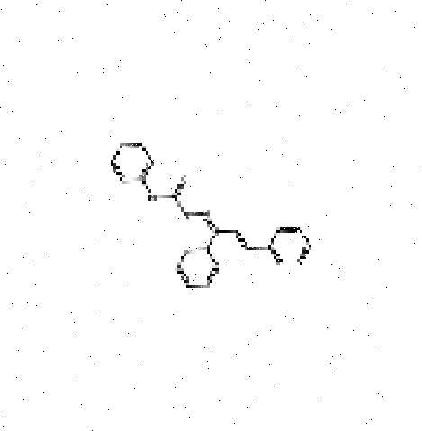 O=C(N/N=C(/C=C/c1ccccc1)c1ccccc1)Nc1ccccc1